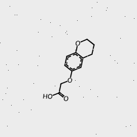 O=C(O)COc1ccc2c(c1)CCCO2